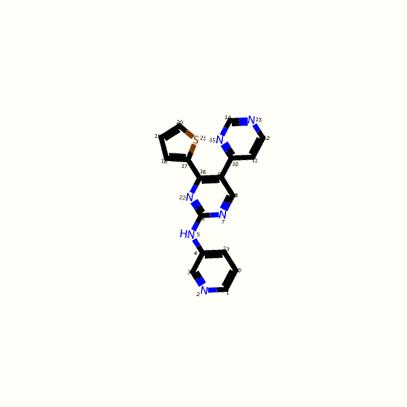 c1cncc(Nc2ncc(-c3ccncn3)c(-c3cccs3)n2)c1